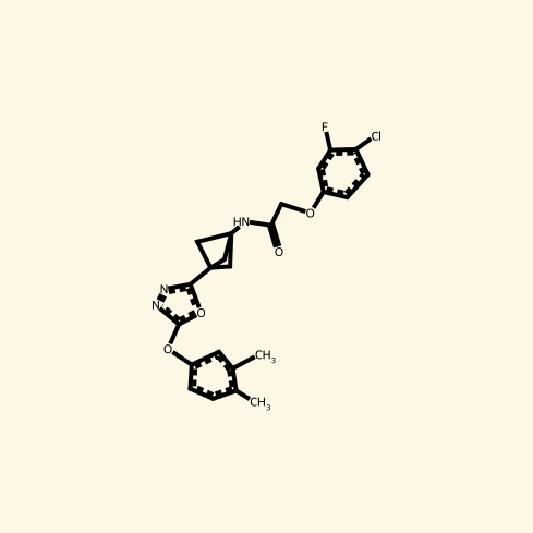 Cc1ccc(Oc2nnc(C34CC(NC(=O)COc5ccc(Cl)c(F)c5)(C3)C4)o2)cc1C